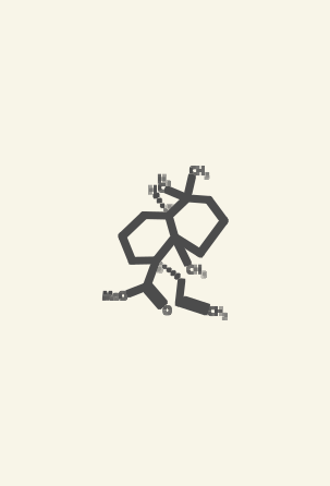 C=CC[C@]1(C(=O)OC)CCC[C@H]2C(C)(C)CCCC21C